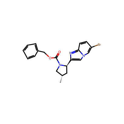 C[C@H]1C[C@H](c2cn3cc(Br)ccc3n2)N(C(=O)OCc2ccccc2)C1